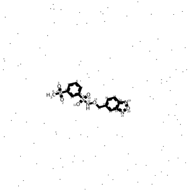 CS(=O)(=O)c1cccc(S(=O)(=O)NOCc2ccc3nonc3c2)c1